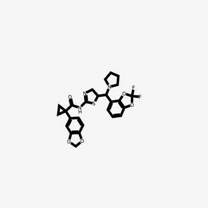 O=C(NC1=NCC(C(c2cccc3c2OC(F)(F)O3)N2CCCC2)S1)C1(c2ccc3c(c2)OCO3)CC1